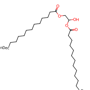 CCCCCCCCCCCCCCCCCCCCCC(=O)OCC(O)OC(=O)CCCCCCCCCCCCCCCCCCCCC